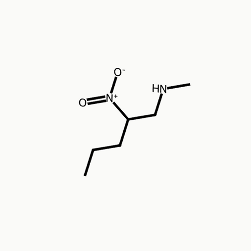 CCCC(CNC)[N+](=O)[O-]